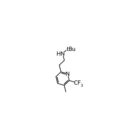 Cc1ccc(CCNC(C)(C)C)nc1C(F)(F)F